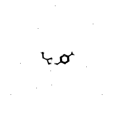 CC(C)c1ccc(CN2CC(CC(=O)O)C2)cc1